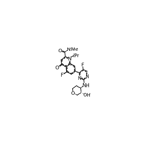 CNC(=O)c1cc(=O)c2c(F)cc(-c3nc(N[C@@H]4CCOC[C@H]4O)ncc3F)cc2n1C(C)C